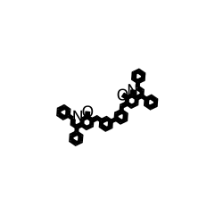 O=C1/C(=C/c2cccc(-c3cccc(/C=C4\CCc5c(-c6ccccc6)cc(-c6ccccc6)nc5C4=O)c3)c2)CCc2c(-c3ccccc3)cc(-c3ccccc3)nc21